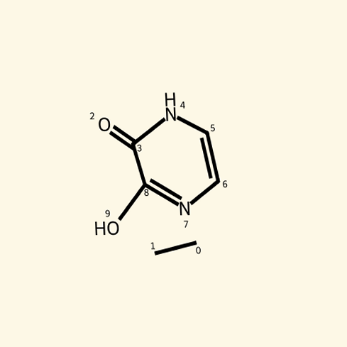 CC.O=c1[nH]ccnc1O